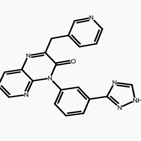 O=c1c(Cc2cccnc2)nc2cccnc2n1-c1cccc(-c2nc[nH]n2)c1